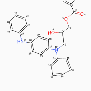 C=C(C)C(=O)OCC(O)CN(c1ccccc1)c1ccc(Nc2ccccc2)cc1